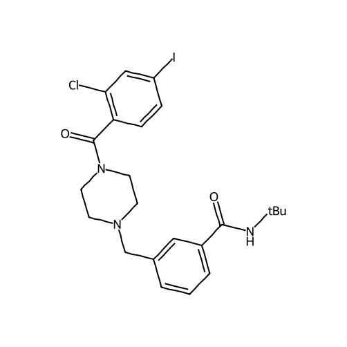 CC(C)(C)NC(=O)c1cccc(CN2CCN(C(=O)c3ccc(I)cc3Cl)CC2)c1